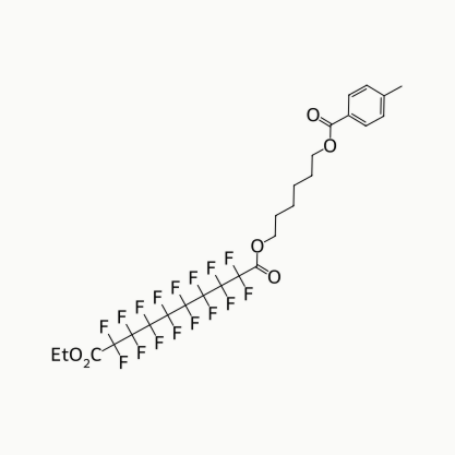 CCOC(=O)C(F)(F)C(F)(F)C(F)(F)C(F)(F)C(F)(F)C(F)(F)C(F)(F)C(F)(F)C(=O)OCCCCCCOC(=O)c1ccc(C)cc1